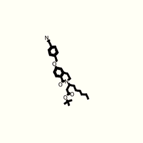 CCCCCCC(CC(=O)OC(C)(C)C)N1CCc2cc(OCc3ccc(C#N)cc3)ccc2C1=O